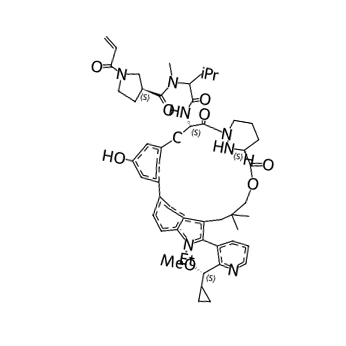 C=CC(=O)N1CC[C@H](C(=O)N(C)C(C(=O)N[C@H]2Cc3cc(O)cc(c3)-c3ccc4c(c3)c(c(-c3cccnc3[C@@H](OC)C3CC3)n4CC)CC(C)(C)COC(=O)[C@@H]3CCCN(N3)C2=O)C(C)C)C1